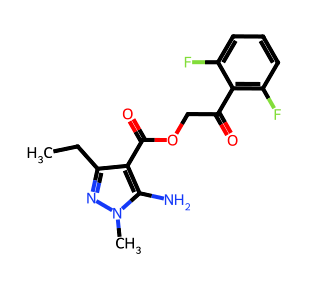 CCc1nn(C)c(N)c1C(=O)OCC(=O)c1c(F)cccc1F